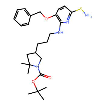 CC(C)(C)OC(=O)N1CC(CCCNc2nc(SN)ccc2OCc2ccccc2)CC1(C)C